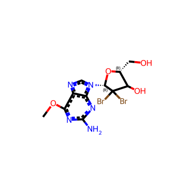 COc1nc(N)nc2c1ncn2[C@@H]1O[C@H](CO)C(O)C1(Br)Br